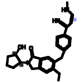 CCc1cc2c(cc1Cc1ccc(C(=N)/C=C\NC)cc1)C(=O)N([C@H]1CCC[C@@H]1O)C2